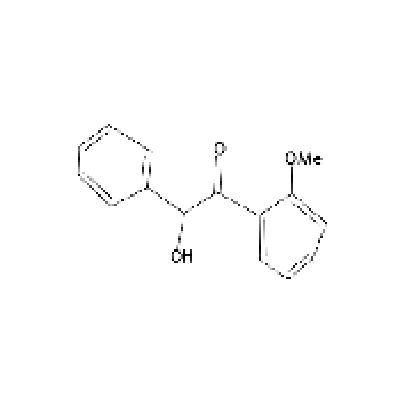 COc1ccccc1C(=O)C(O)c1ccccc1